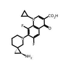 N[C@H]1C[C@@]12CCCN(c1c(F)cc3c(=O)c(C(=O)O)cn(C4CC4)c3c1F)C2